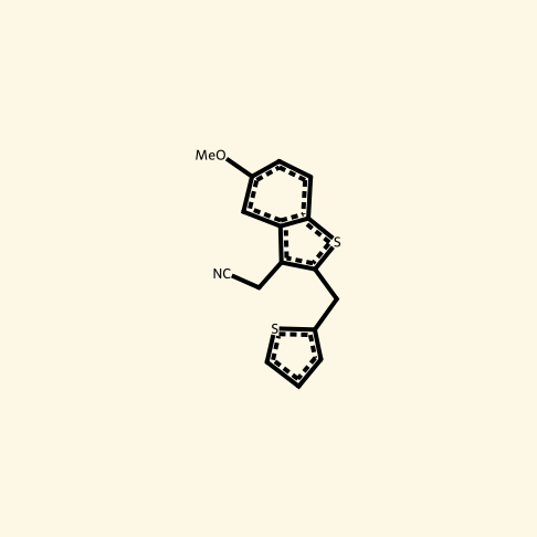 COc1ccc2sc(Cc3cccs3)c(CC#N)c2c1